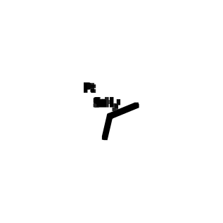 CCC.[Pt].[SnH2]